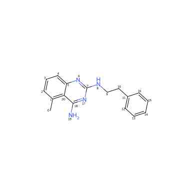 Cc1cccc2nc(NCCc3ccccc3)nc(N)c12